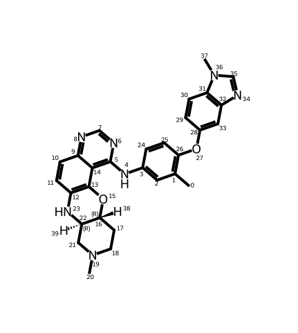 Cc1cc(Nc2ncnc3ccc4c(c23)O[C@@H]2CCN(C)C[C@H]2N4)ccc1Oc1ccc2c(c1)ncn2C